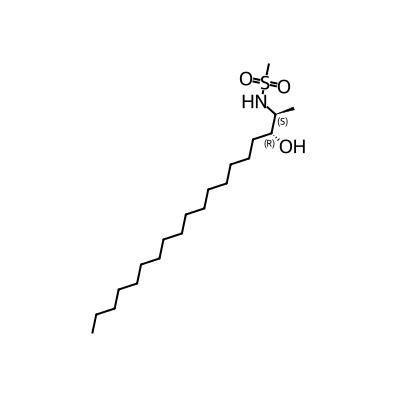 CCCCCCCCCCCCCCCC[C@@H](O)[C@H](C)NS(C)(=O)=O